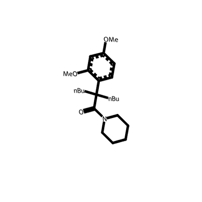 CCCCC(CCCC)(C(=O)N1CCCCC1)c1ccc(OC)cc1OC